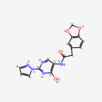 O=C(Cc1ccc2c(c1)OCO2)Nc1cnc(-n2cccn2)nc1O